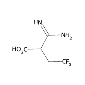 N=C(N)C(CC(F)(F)F)C(=O)O